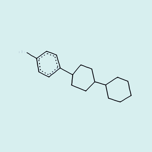 CCCc1ccc(C2CCC(C3CC[CH]CC3)CC2)cc1